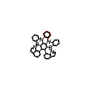 c1ccc(N2c3ccccc3B3c4c(c5c6c(c42)N(c2ccccc2)c2ccccc2B6n2ccc4cccc-5c42)-c2cccc4ccn3c24)cc1